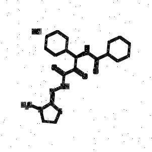 CN1CCS/C1=N\NC(=O)C(=O)[C@H](NC(=O)C1CCCCC1)C1CCCCC1.Cl